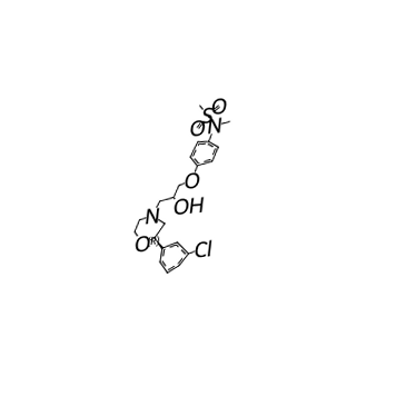 CN(c1ccc(OCC(O)CN2CCO[C@H](c3cccc(Cl)c3)C2)cc1)S(C)(=O)=O